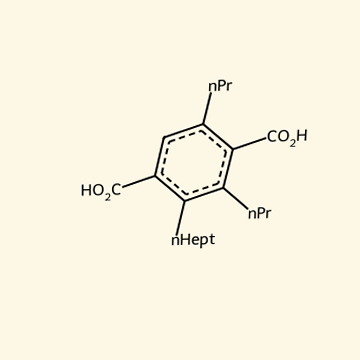 CCCCCCCc1c(C(=O)O)cc(CCC)c(C(=O)O)c1CCC